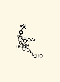 CC(=O)O[C@@H]1CC(C(=O)NC2(c3ccc(-c4scnc4C)cc3)CC2)N(C(=O)[C@@H](NC(=O)COCCCCC=O)C(C)(C)C)C1